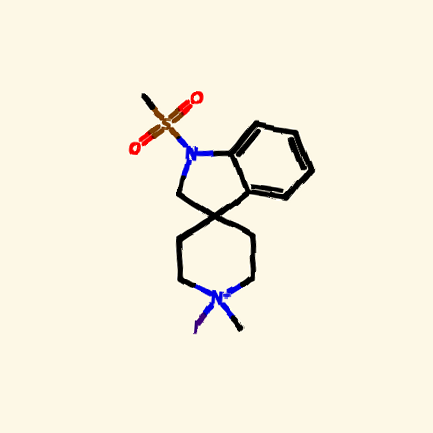 C[N+]1(I)CCC2(CC1)CN(S(C)(=O)=O)c1ccccc12